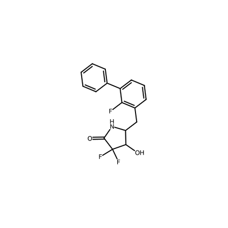 O=C1NC(Cc2cccc(-c3ccccc3)c2F)C(O)C1(F)F